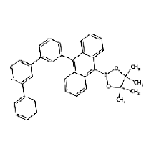 CC1(C)OB(c2c3ccccc3c(-c3cccc(-c4cccc(-c5ccccc5)c4)c3)c3ccccc23)OC1(C)C